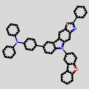 c1ccc(-c2nc3cc4c(cc3s2)c2cc(-c3ccc(N(c5ccccc5)c5ccccc5)cc3)ccc2n4-c2ccc3oc4ccccc4c3c2)cc1